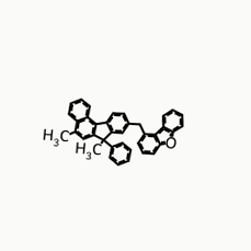 Cc1cc2c(c3ccccc13)-c1ccc(Cc3cccc4oc5ccccc5c34)cc1C2(C)c1ccccc1